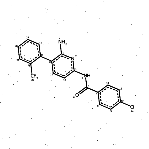 Nc1nc(NC(=O)c2ccc(Cl)cc2)ccc1-c1ccccc1C(F)(F)F